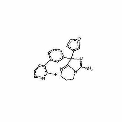 NC1=NC(c2ccoc2)(c2cccc(-c3cccnc3F)c2)C2=NCCCN12